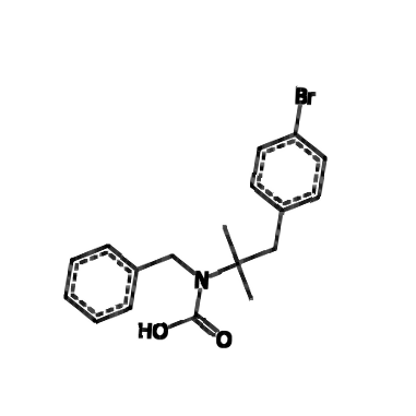 CC(C)(Cc1ccc(Br)cc1)N(Cc1ccccc1)C(=O)O